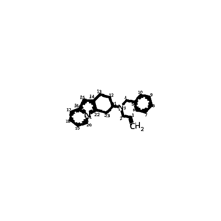 C=CCN(Cc1ccccc1)C1CCc2cc3ccccn3c2C1